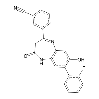 N#Cc1cccc(C2=Nc3cc(O)c(-c4ccccc4F)cc3NC(=O)C2)c1